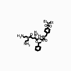 CCN(CC)S(=O)(=O)c1ccc(CNC(=O)[C@H](CCc2ccccc2)NC(=O)[C@@H](N)CC(=O)N(CCN)CCN)cc1